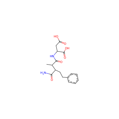 CC(C(=O)NC(CC(=O)O)C(=O)O)C(CCc1ccccc1)C(N)=O